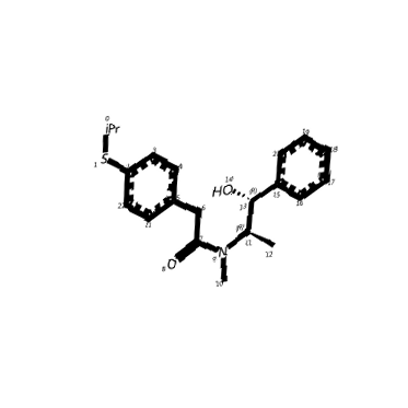 CC(C)Sc1ccc(CC(=O)N(C)[C@H](C)[C@H](O)c2ccccc2)cc1